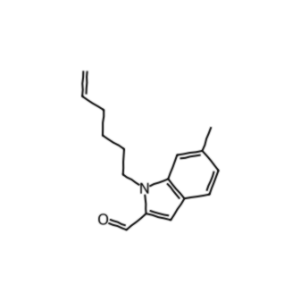 C=CCCCCn1c(C=O)cc2ccc(C)cc21